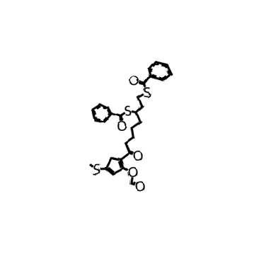 CSC1=CC(OC=O)=C(C(=O)CCCCC(CCSC(=O)c2ccccc2)SC(=O)c2ccccc2)C1